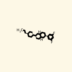 CCC[C@H]1CC[C@H]([C@@H]2CC[C@@H]3C[C@H](c4cc(F)cc(F)c4)CC[C@@H]3C2)CC1